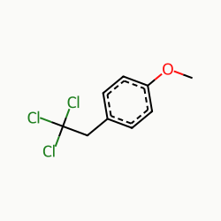 COc1ccc(CC(Cl)(Cl)Cl)cc1